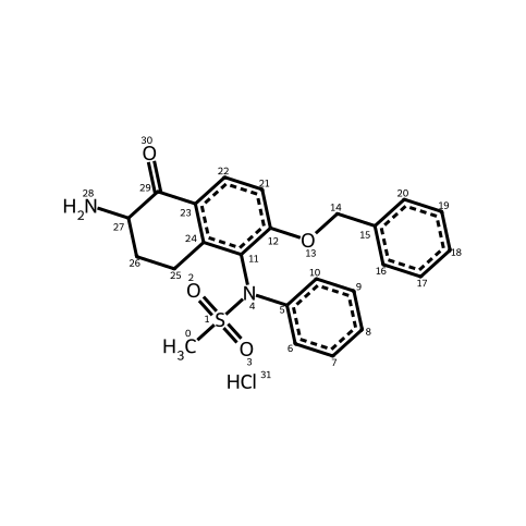 CS(=O)(=O)N(c1ccccc1)c1c(OCc2ccccc2)ccc2c1CCC(N)C2=O.Cl